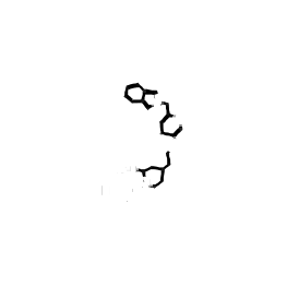 CC(C)(C)C1CC(CCOc2coc(Cn3cc4ccccc4c3)cc2=O)CCN1C(=O)O